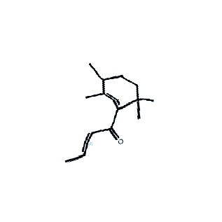 C/C=C/C(=O)C1=C(C)C(C)CCC1(C)C